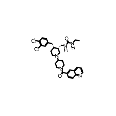 CCNC(=O)NC[C@@H]1CN(C2CCN(C(=O)c3ccc4ncccc4c3)CC2)CC[C@@H]1Cc1ccc(Cl)c(Cl)c1